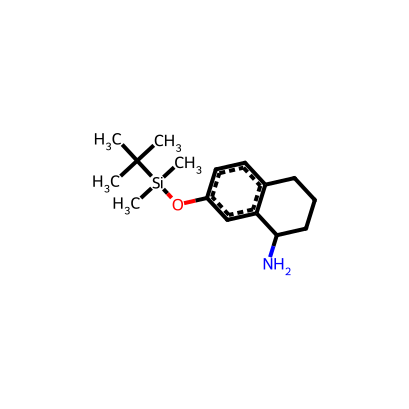 CC(C)(C)[Si](C)(C)Oc1ccc2c(c1)C(N)CCC2